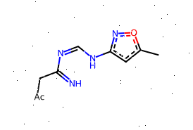 CC(=O)CC(=N)/N=C\Nc1cc(C)on1